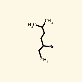 CCC(Br)CCC(C)C